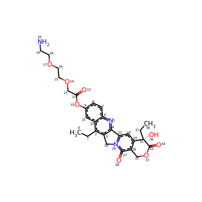 CCc1c2c(nc3ccc(OC(=O)COCCOCCN)cc13)-c1cc3c(c(=O)n1C2)COC(=O)[C@]3(O)CC